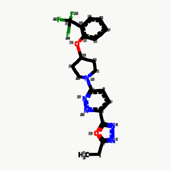 CCc1nnc(-c2ccc(N3CCC(Oc4ccccc4C(F)(F)F)CC3)nn2)o1